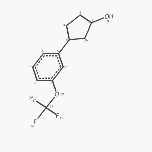 OC1CCC(c2cccc(OC(F)(F)F)c2)C1